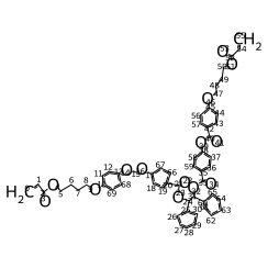 C=CC(=O)OCCCCOc1ccc(OCOc2ccc(C(=O)OC(c3ccccc3)C(OC(=O)c3ccc(OC(=O)c4ccc(OCCCCOC(=O)C=C)cc4)cc3)c3ccccc3)cc2)cc1